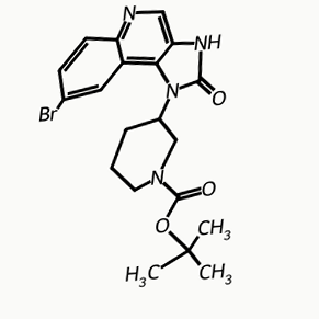 CC(C)(C)OC(=O)N1CCCC(n2c(=O)[nH]c3cnc4ccc(Br)cc4c32)C1